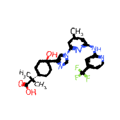 Cc1cc(Nc2cc(C(F)(F)F)ccn2)nc(-n2cnc([C@]3(O)CC[C@H](C(C)(C)C(=O)O)CC3)c2)c1